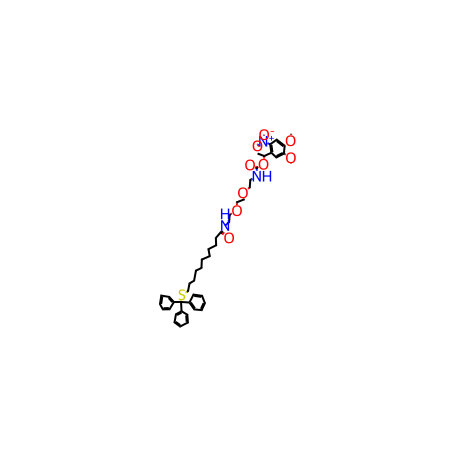 COc1cc(C(C)OC(=O)NCCOCCOCCNC(=O)CCCCCCCCCCSC(c2ccccc2)(c2ccccc2)c2ccccc2)c([N+](=O)[O-])cc1OC